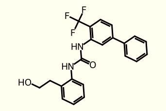 O=C(Nc1ccccc1CCO)Nc1cc(-c2ccccc2)ccc1C(F)(F)F